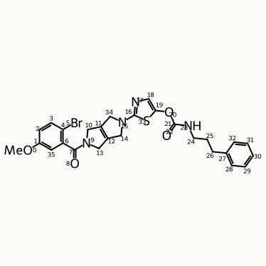 COc1ccc(Br)c(C(=O)N2CC3=C(C2)CN(c2ncc(OC(=O)NCCCc4ccccc4)s2)C3)c1